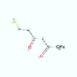 COC(=O)CC(=O)CCS